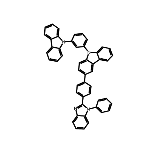 c1ccc(-n2c(-c3ccc(-c4ccc5c(c4)c4ccccc4n5-c4cccc(-n5c6ccccc6c6ccccc65)c4)cc3)nc3ccccc32)cc1